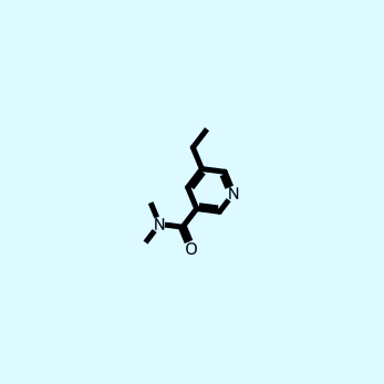 CCc1cncc(C(=O)N(C)C)c1